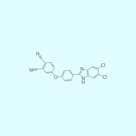 N#Cc1ccc(Oc2ccc(-c3nc4cc(Cl)c(Cl)cc4[nH]3)cc2)cc1C#N